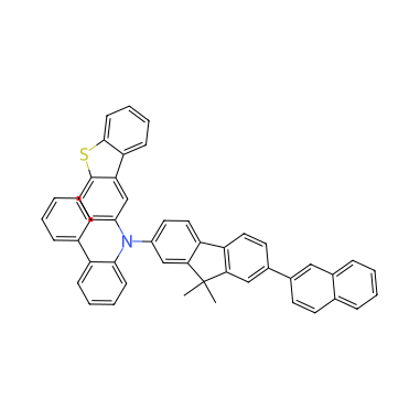 CC1(C)c2cc(-c3ccc4ccccc4c3)ccc2-c2ccc(N(c3ccc4sc5ccccc5c4c3)c3ccccc3-c3ccccc3)cc21